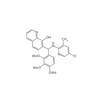 COc1ccc(C(Nc2ncc(Cl)cc2C)c2ccc3cccnc3c2O)c(OC)c1OC